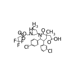 CCC(CNCOS(=O)(=O)CC(F)(F)F)N1C(=O)C(C)(CC(=O)O)CC(c2cccc(Cl)c2)C1c1ccc(Cl)cc1